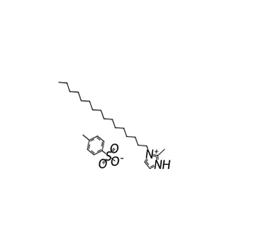 CCCCCCCCCCCCCCCC[n+]1cc[nH]c1C.Cc1ccc(S(=O)(=O)[O-])cc1